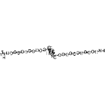 CCCC(=S)NCCOCCOCCOCCOCCOCCOCCOCCOCCOCCOCCOCCNC(=O)C(F)(F)OC(F)(F)C(F)(F)OC(F)(F)C(=O)CCCOCCOCCOCCOCCOCCOCCOCCOCCOCCOCCOCCN